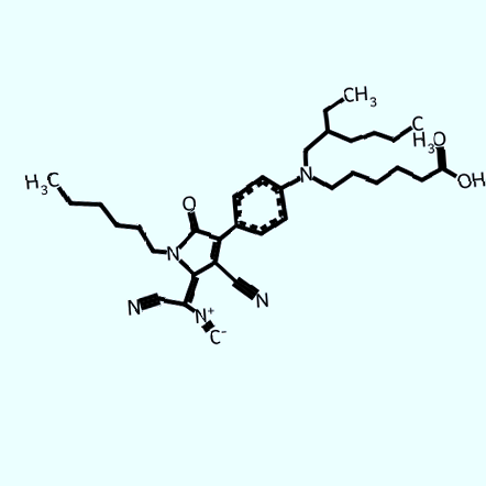 [C-]#[N+]/C(C#N)=C1\C(C#N)=C(c2ccc(N(CCCCCC(=O)O)CC(CC)CCCC)cc2)C(=O)N1CCCCCC